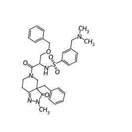 CN(C)Cc1cccc(S(=O)(=O)NC(COCc2ccccc2)C(=O)N2CCC3=NN(C)C(=O)C3(Cc3ccccc3)C2)c1